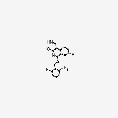 N=Cc1c(O)nc(SCc2c(F)cccc2C(F)(F)F)c2cc(F)ccc12